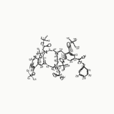 CC(C)(C)OC(=O)CN1CCN(Cc2c(OC(C)(C)C)cc(C(=O)OCc3ccccc3)cc2OC(C)(C)C)CCN(CC(=O)O)CCN(Cc2c(OC(C)(C)C)ncnc2OC(C)(C)C)CC1